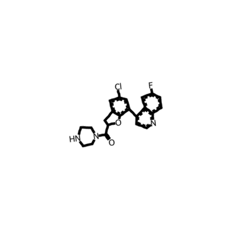 O=C(C1Cc2cc(Cl)cc(-c3ccnc4ccc(F)cc34)c2O1)N1CCNCC1